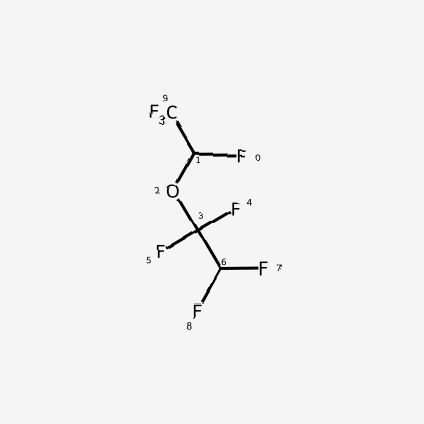 FC(OC(F)(F)C(F)F)C(F)(F)F